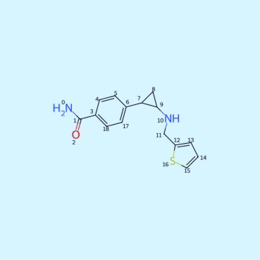 NC(=O)c1ccc(C2CC2NCc2cccs2)cc1